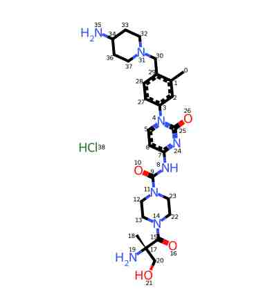 Cc1cc(-n2ccc(NC(=O)N3CCN(C(=O)[C@@](C)(N)CO)CC3)nc2=O)ccc1CN1CCC(N)CC1.Cl